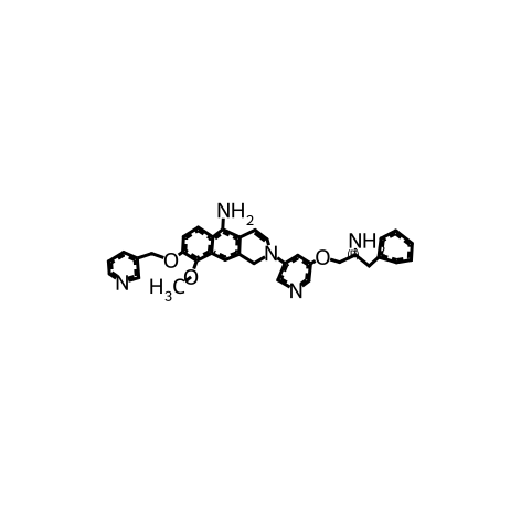 COc1c(OCc2cccnc2)ccc2c(N)c3c(cc12)CN(c1cncc(OC[C@H](N)Cc2ccccc2)c1)C=C3